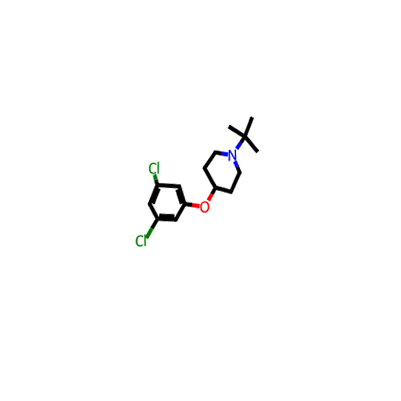 CC(C)(C)N1CCC(Oc2cc(Cl)cc(Cl)c2)CC1